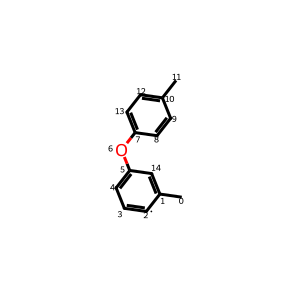 Cc1[c]ccc(Oc2ccc(C)cc2)c1